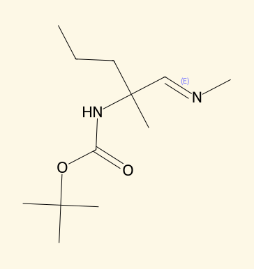 CCCC(C)(/C=N/C)NC(=O)OC(C)(C)C